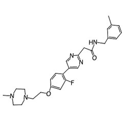 Cc1cccc(CNC(=O)Cc2ncc(-c3ccc(OCCN4CCN(C)CC4)cc3F)cn2)c1